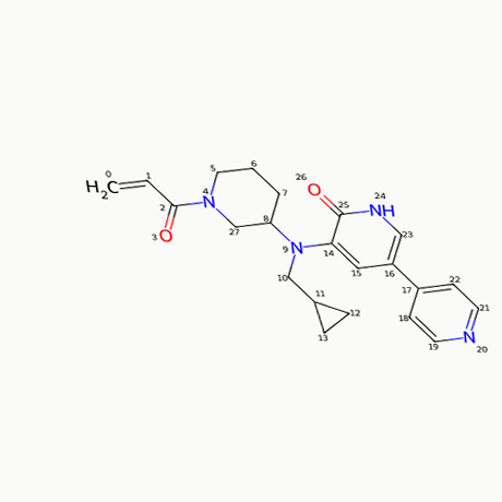 C=CC(=O)N1CCCC(N(CC2CC2)c2cc(-c3ccncc3)c[nH]c2=O)C1